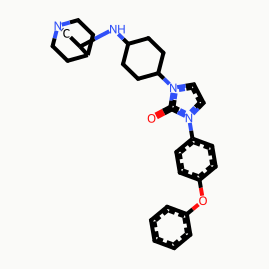 O=c1n(-c2ccc(Oc3ccccc3)cc2)ccn1C1CCC(NC2CN3CCC2CC3)CC1